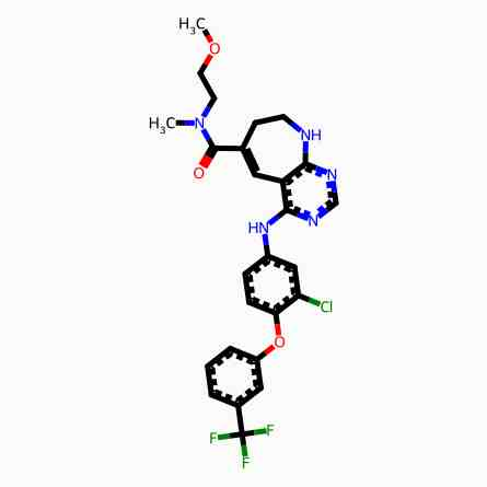 COCCN(C)C(=O)C1=Cc2c(ncnc2Nc2ccc(Oc3cccc(C(F)(F)F)c3)c(Cl)c2)NCC1